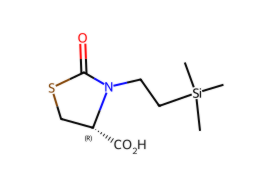 C[Si](C)(C)CCN1C(=O)SC[C@H]1C(=O)O